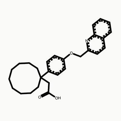 O=C(O)CC1(c2ccc(OCc3ccc4ccccc4n3)cc2)CCCCCCCCC1